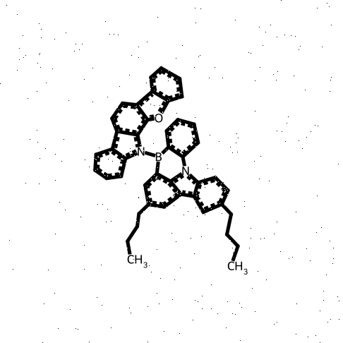 CCCCc1ccc2c(c1)c1cc(CCCC)cc3c1n2-c1ccccc1B3n1c2ccccc2c2ccc3c4ccccc4oc3c21